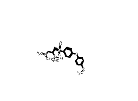 CN(C)CC(CS(=O)(=O)c1ccc(Oc2ccc(OC(F)(F)F)cc2)cc1)N(O)C=O